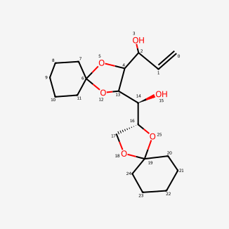 C=CC(O)C1OC2(CCCCC2)OC1[C@@H](O)[C@H]1COC2(CCCCC2)O1